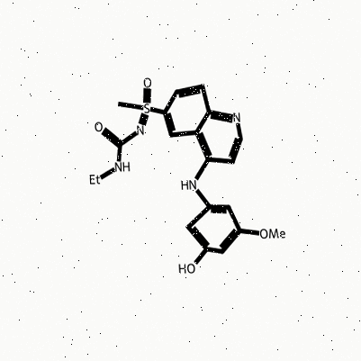 CCNC(=O)N=S(C)(=O)c1ccc2nccc(Nc3cc(O)cc(OC)c3)c2c1